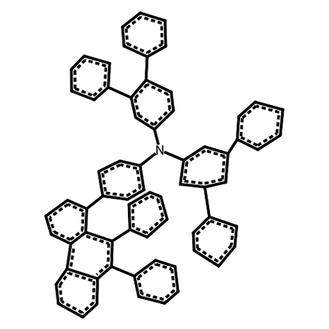 c1ccc(-c2cc(-c3ccccc3)cc(N(c3ccc(-c4cccc5c4c(-c4ccccc4)c(-c4ccccc4)c4ccccc45)cc3)c3ccc(-c4ccccc4)c(-c4ccccc4)c3)c2)cc1